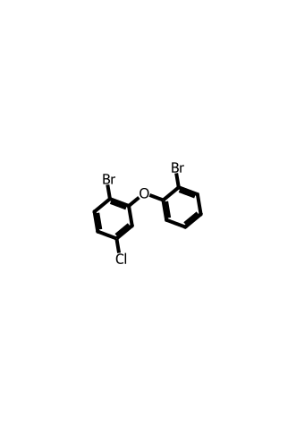 Clc1ccc(Br)c(Oc2ccccc2Br)c1